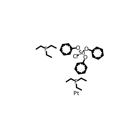 CCP(CC)CC.CCP(CC)CC.[Cl][Sn]([O]c1ccccc1)([O]c1ccccc1)[O]c1ccccc1.[Pt]